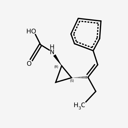 CCC(=Cc1ccccc1)[C@@H]1C[C@H]1NC(=O)O